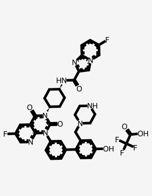 O=C(N[C@H]1CC[C@@H](n2c(=O)c3cc(F)cnc3n(-c3cccc(-c4ccc(O)cc4CN4CCNCC4)c3)c2=O)CC1)c1cn2cc(F)ccc2n1.O=C(O)C(F)(F)F